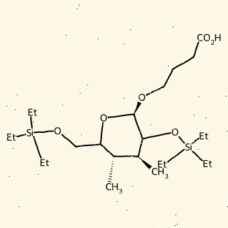 CC[Si](CC)(CC)OCC1O[C@@H](OCCCC(=O)O)C(O[Si](CC)(CC)CC)[C@@H](C)[C@@H]1C